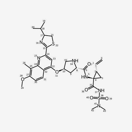 C=C[C@@H]1C[C@]1(NC(=O)[C@@H]1C[C@@H](Oc2cc(C3=NC(C(C)C)CS3)nc3c(C)c(OC)ccc23)CN1)C(=O)NS(=O)(=O)N(C)C